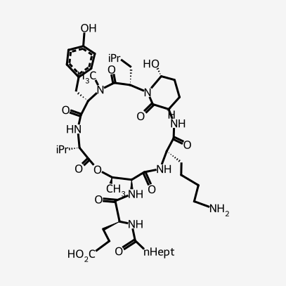 CCCCCCCC(=O)N[C@@H](CCC(=O)O)C(=O)N[C@@H]1C(=O)N[C@@H](CCCCN)C(=O)N[C@H]2CC[C@@H](O)N(C2=O)[C@@H](CC(C)C)C(=O)N(C)[C@@H](Cc2ccc(O)cc2)C(=O)N[C@@H](C(C)C)C(=O)O[C@@H]1C